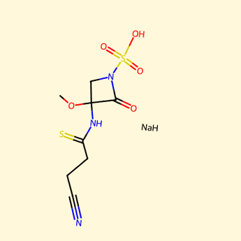 COC1(NC(=S)CCC#N)CN(S(=O)(=O)O)C1=O.[NaH]